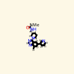 CNC(=O)NC[C@@H]1CCCN(c2ncnc3c(C)cc(-c4cccnc4)cc23)C1